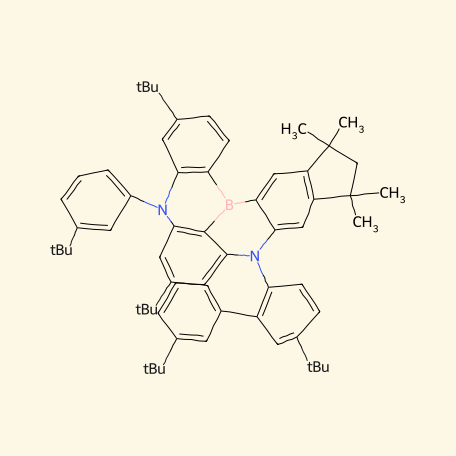 CC(C)(C)c1cccc(-c2cc(C(C)(C)C)ccc2N2c3cc4c(cc3B3c5ccc(C(C)(C)C)cc5N(c5cccc(C(C)(C)C)c5)c5cc(C(C)(C)C)cc2c53)C(C)(C)CC4(C)C)c1